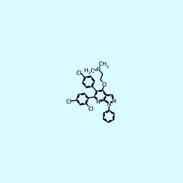 CN(C)CCOc1c(-c2ccc(Cl)cc2)c(-c2ccc(Cl)cc2Cl)nc2c1cnn2-c1ccccc1